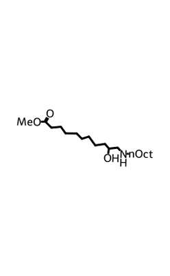 CCCCCCCCNCC(O)CCCCCCCCC(=O)OC